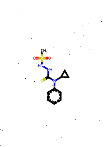 CS(=O)(=O)NNC(=S)N(c1ccccc1)C1CC1